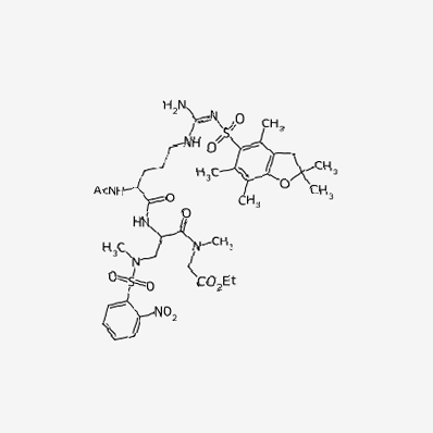 CCOC(=O)CN(C)C(=O)C(CN(C)S(=O)(=O)c1ccccc1[N+](=O)[O-])NC(=O)C(CCCNC(N)=NS(=O)(=O)c1c(C)c(C)c2c(c1C)CC(C)(C)O2)NC(C)=O